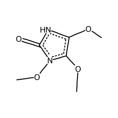 COc1[nH]c(=O)n(OC)c1OC